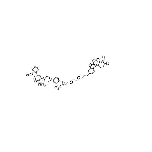 CN(CCOCCOCCCc1ccc2c(c1)oc(=O)n2C1CCC(=O)NC1=O)Cc1ccc(N2CCN(c3cc(-c4ccccc4O)nnc3N)CC2)cc1